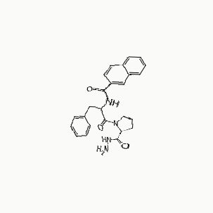 NNC(=O)C1CCCN1C(=O)C(Cc1ccccc1)NC(=O)c1ccc2ccccc2c1